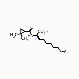 CC(=O)SCCCCC/C=C(/NC(=O)C1CC1(C)C)C(=O)O